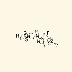 CS(=O)(=O)N1CCC(Nc2ncc(F)c(-c3sc(C4CC4)nc3C(F)F)n2)CC1